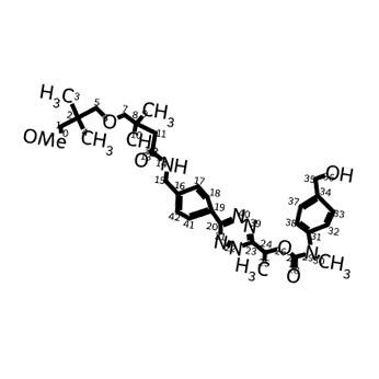 COCC(C)(C)COCC(C)(C)CC(=O)NCc1ccc(-c2nnc(C(C)OC(=O)N(C)c3ccc(CO)cc3)nn2)cc1